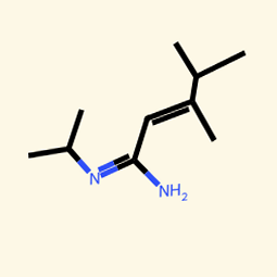 C/C(=C\C(N)=N/C(C)C)C(C)C